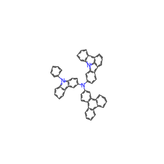 c1ccc(-n2c3ccccc3c3cc(N(c4ccc5c6ccccc6c6ccccc6c5c4)c4ccc5c6cccc7c8ccccc8n(c5c4)c76)ccc32)cc1